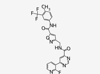 Cc1ccc(NC(=O)c2cc(CNC(=O)c3cc(-c4cccnc4F)ncn3)no2)cc1C(F)(F)F